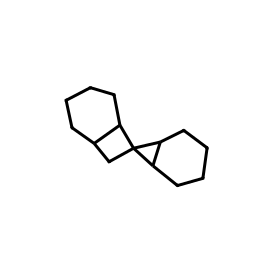 C1CCC2C(C1)CC21C2CCCCC21